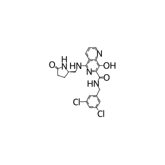 O=C1CC[C@H](CNc2nc(C(=O)NCc3cc(Cl)cc(Cl)c3)c(O)c3ncccc23)N1